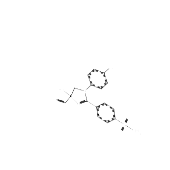 CS(=O)(=O)c1ccc(C2=NC(O)(C=O)CN2c2ccc(Cl)cc2)cc1